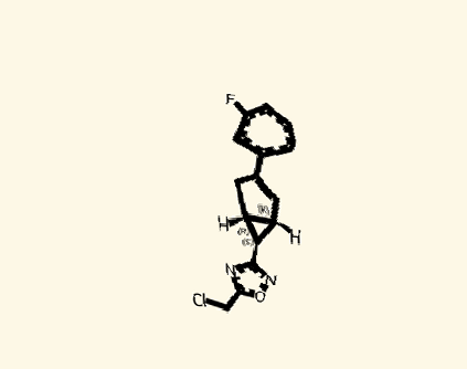 Fc1cccc(C2=C[C@H]3[C@@H](C2)[C@@H]3c2noc(CCl)n2)c1